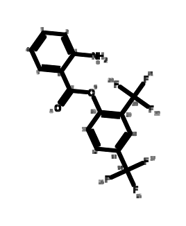 Nc1ccccc1C(=O)Oc1ccc(C(F)(F)F)cc1C(F)(F)F